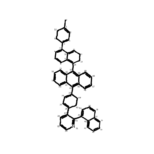 CC1=CC=C(c2cccc3c2=CCCC=3c2c3ccccc3c(C3=CC=C(c4cccnc4-c4cccc5ccccc45)CC3)c3ccccc23)CC1